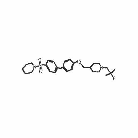 CC(C)(F)CN1CCC(COc2ccc(-c3ccc(S(=O)(=O)N4CCCCC4)cc3)cc2)CC1